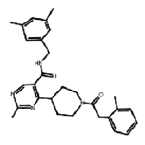 Cc1cc(C)cc(CNC(=O)c2cnc(C)nc2C2CCN(C(=O)Cc3ccccc3C)CC2)c1